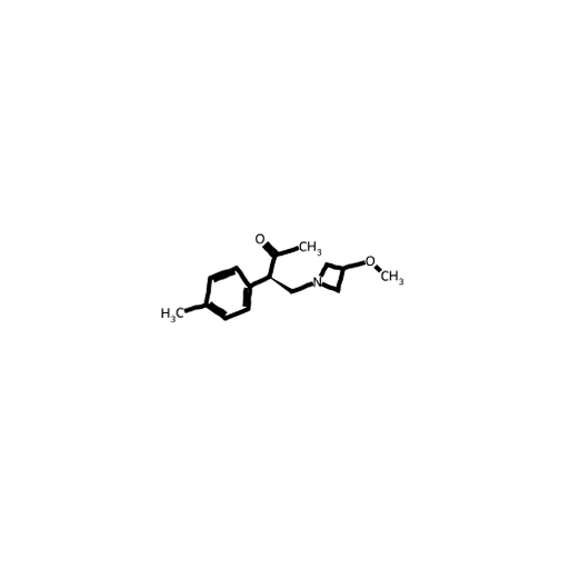 COC1CN(C[C@H](C(C)=O)c2ccc(C)cc2)C1